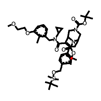 COCCOc1cccc(CN(C(=O)C2=C(c3ccc(CO[Si](C)(C)C(C)(C)C)cc3)CC3CN(C(=O)OC(C)(C)C)CC2N3C(=O)OC(C)(C)C)C2CC2)c1C